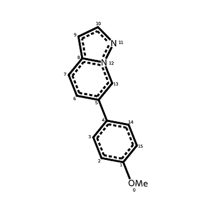 COc1ccc(-c2ccc3ccnn3c2)cc1